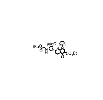 CCOC(=O)c1cn(-c2nccs2)c2nc(N3C[C@@H](NCC(=O)OC(C)(C)C)[C@H](OC)C3)ccc2c1=O